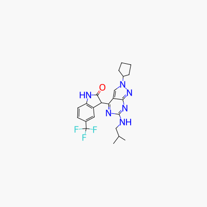 CC(C)CNc1nc(C2C(=O)Nc3ccc(C(F)(F)F)cc32)c2cn(C3CCCC3)nc2n1